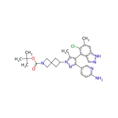 Cc1cc2[nH]ncc2c(-c2c(-c3ccc(N)nc3)nn(C3CC4(C3)CN(C(=O)OC(C)(C)C)C4)c2C)c1Cl